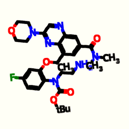 CC(Oc1cc(F)ccc1N(CCN)C(=O)OC(C)(C)C)c1cc(C(=O)N(C)C)cc2ncc(N3CCOCC3)nc12